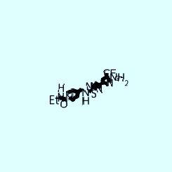 CCNC(=O)N1CCC(CNc2nn3cc(-c4cnc(N)c(C(F)(F)F)c4)nc3s2)CC1